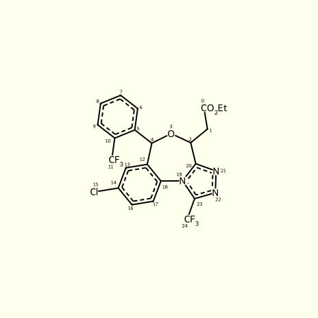 CCOC(=O)CC1OC(c2ccccc2C(F)(F)F)c2cc(Cl)ccc2-n2c1nnc2C(F)(F)F